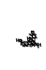 CNc1nc(Nc2cccc(Cl)c2C)c2ncc(CN3CCC(O)C3)cc2n1